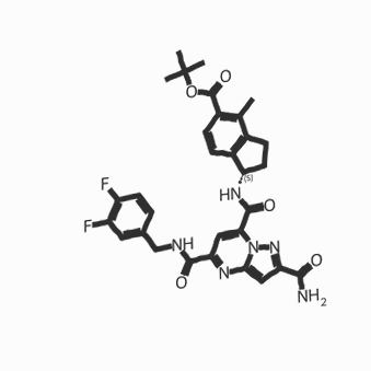 Cc1c(C(=O)OC(C)(C)C)ccc2c1CC[C@@H]2NC(=O)c1cc(C(=O)NCc2ccc(F)c(F)c2)nc2cc(C(N)=O)nn12